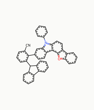 N#Cc1cccc(C2c3ccccc3-c3ccccc32)c1-c1ccc2c3c4oc5ccccc5c4ccc3n(-c3ccccc3)c2c1